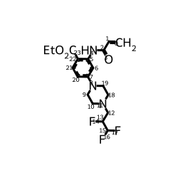 C=CC(=O)Nc1cc(N2CCN(CC(F)C(F)F)CC2)ccc1C(=O)OCC